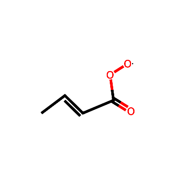 CC=CC(=O)O[O]